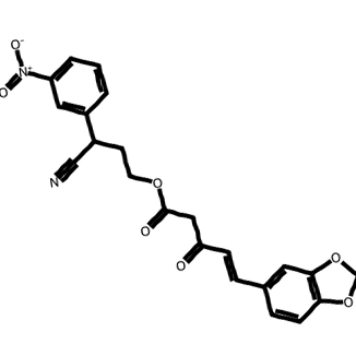 N#CC(CCOC(=O)CC(=O)C=Cc1ccc2c(c1)OCO2)c1cccc([N+](=O)[O-])c1